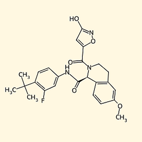 COc1ccc2c(c1)CCN(C(=O)c1cc(O)no1)[C@@H]2C(=O)Nc1ccc(C(C)(C)C)c(F)c1